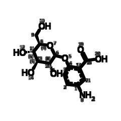 Nc1ccc(OC2O[C@H](CO)[C@@H](O)[C@H](O)[C@H]2O)c(C(=O)O)c1